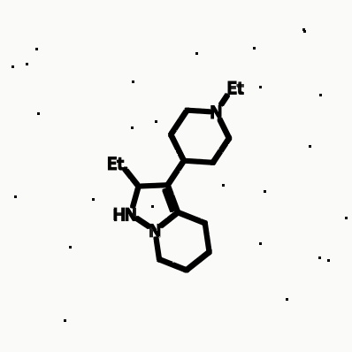 CCC1NN2CCCCC2=C1C1CCN(CC)CC1